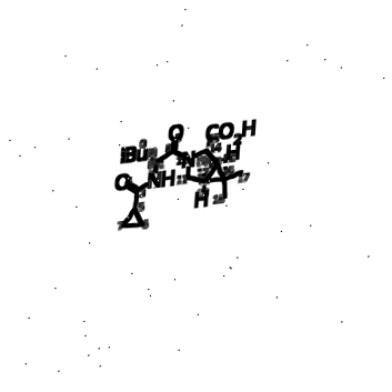 CC[C@@H](C)[C@H](NC(=O)C1CC1)C(=O)N1C[C@H]2[C@@H]([C@H]1C(=O)O)C2(C)C